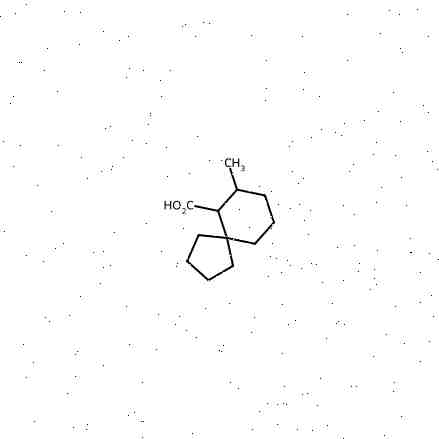 CC1CCCC2(CCCC2)C1C(=O)O